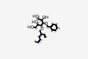 C=C/C(=C\C=C/C)CO[C@@H]([C@H](OCc1ccccc1)[C@H](O)CO)[C@H](O)CO